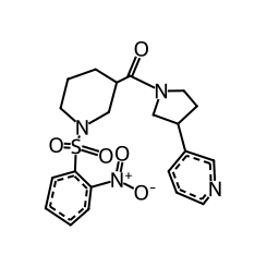 O=C(C1CCCN(S(=O)(=O)c2ccccc2[N+](=O)[O-])C1)N1CCC(c2cccnc2)C1